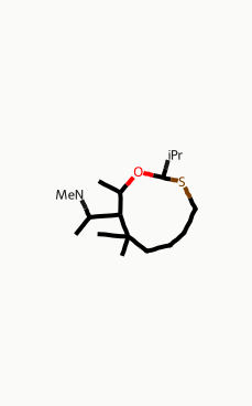 CNC(C)C1C(C)OC(C(C)C)SCCCCC1(C)C